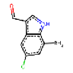 Bc1cc(Cl)cc2c(C=O)c[nH]c12